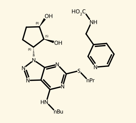 CCCCNc1nc(SCCC)nc2c1nnn2[C@@H]1CC[C@@H](O)[C@H]1O.O=C(O)NCc1cccnc1